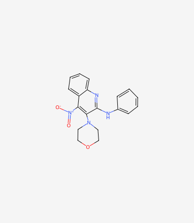 O=[N+]([O-])c1c(N2CCOCC2)c(Nc2ccccc2)nc2ccccc12